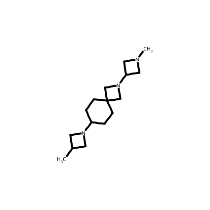 CC1CN(C2CCC3(CC2)CN(C2CN(C)C2)C3)C1